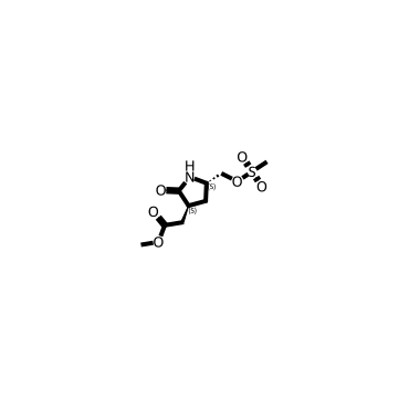 COC(=O)C[C@@H]1C[C@@H](COS(C)(=O)=O)NC1=O